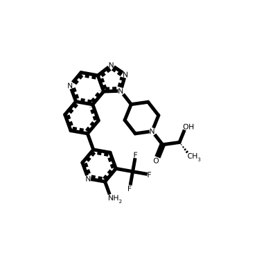 C[C@@H](O)C(=O)N1CCC(n2nnc3cnc4ccc(-c5cnc(N)c(C(F)(F)F)c5)cc4c32)CC1